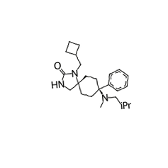 CC(C)CN(C)[C@]1(c2ccccc2)CC[C@@]2(CC1)CNC(=O)N2CC1CCC1